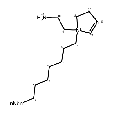 CCCCCCCCCCCCCCCC[N+]1(CCN)C=NCC1